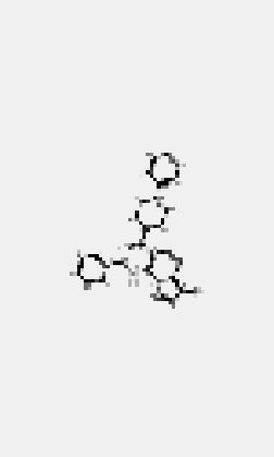 O=C(c1cnc2c(Br)cnn2c1NCc1ccccc1)N1CCC(c2ccccc2)CC1